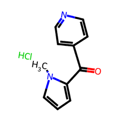 Cl.Cn1cccc1C(=O)c1ccncc1